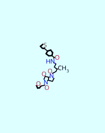 CC(CCNC(=O)c1ccc(-c2cccs2)cc1)CC(=O)N1CCC2C1C(=O)CN2C(=O)c1ccco1